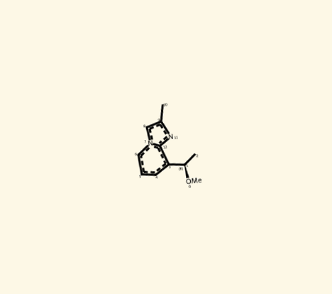 CO[C@H](C)c1cccn2cc(C)nc12